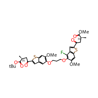 COC(=O)[C@@H](C)CC(=O)c1cc2c(F)c(OCCCOc3cc4cc(C(=O)C[C@H](C)C(=O)OC(C)(C)C)sc4cc3OC)c(OC)cc2s1